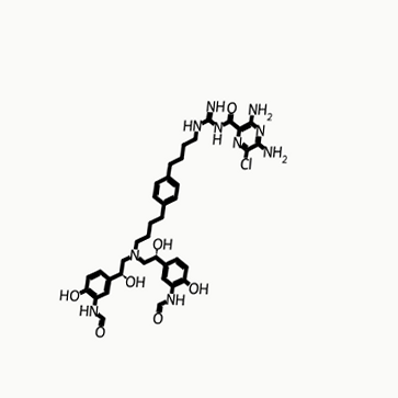 N=C(NCCCCc1ccc(CCCCN(C[C@H](O)c2ccc(O)c(NC=O)c2)C[C@H](O)c2ccc(O)c(NC=O)c2)cc1)NC(=O)c1nc(Cl)c(N)nc1N